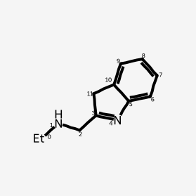 CCNCC1=Nc2ccccc2C1